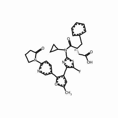 Cc1cc(-c2nc(N(C(=O)[C@@H](CC(=O)O)Cc3ccccc3)C3CC3)sc2F)c(-c2ccc(N3CCCC3=O)nc2)o1